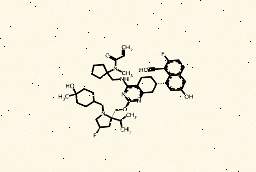 C#Cc1c(F)ccc2cc(O)cc([C@H]3CCc4c(nc(OC[C@]5(C(C)C)C[C@@H](F)CN5CC5CCC(C)(O)CC5)nc4NCC4(N(C)C(=O)C=C)CCCC4)C3)c12